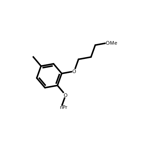 CCCOc1ccc(C)cc1OCCCOC